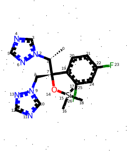 C[C@@H](n1cncn1)[C@@](Cn1cncn1)(O[Si](C)(C)C)c1ccc(F)cc1F